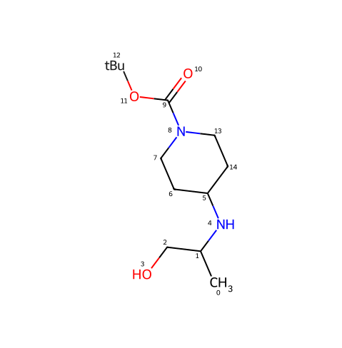 CC(CO)NC1CCN(C(=O)OC(C)(C)C)CC1